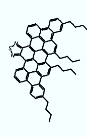 CCCCc1ccc2c(c1)c1cc(CCCC)c3c4c(CCCC)cc5c6cc(CCCC)ccc6c6cccc7c6c5c4c4c7c5nsnc5c5c6cccc2c6c1c3c54